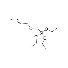 CC=CCOC[Si](OCC)(OCC)OCC